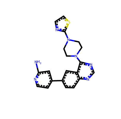 Nc1cc(-c2ccc3ncnc(N4CCN(c5nccs5)CC4)c3c2)ccn1